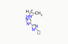 CC(C)CNc1cc(-c2cnc(C3CCC3)nc2)ncn1